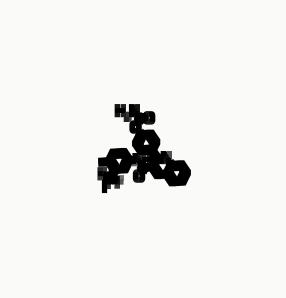 Cc1ccc(NC(=O)c2cc3ccccc3nc2-c2ccc(OC(N)=O)cc2)cc1C(F)(F)F